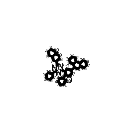 CC12C=CC=CC1=CC(c1nc(-c3ccccc3)nc(-c3cc(-c4cc5ccccc5c5ccccc45)cc4oc5ccccc5c34)n1)=CC2